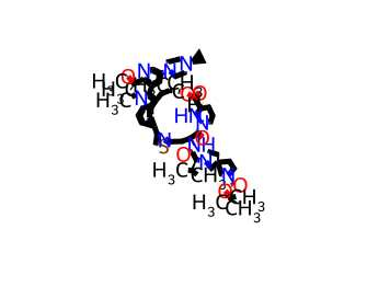 CCn1c(-c2cc(N3CCN(C4CC4)CC3)cnc2[C@H](C)OC)c2c3cc(ccc31)-c1csc(n1)C[C@H](NC(=O)[C@H](C(C)C)N1CC[C@]3(CCN(C(=O)OC(C)(C)C)C3)C1)C(=O)N1CCC[C@H](N1)C(=O)OCC(C)(C)C2